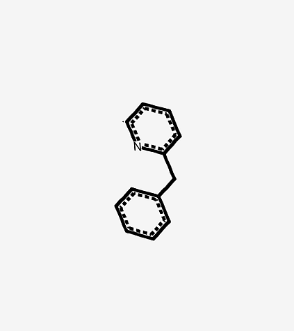 [c]1cccc(Cc2ccccc2)n1